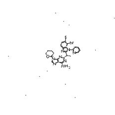 CC(c1nc(N)c2ncn([C@@H]3CCCCO3)c2n1)c1nc2ccc(F)c(Br)c2n1-c1ccccn1